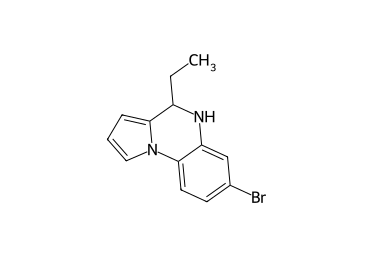 CCC1Nc2cc(Br)ccc2-n2cccc21